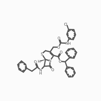 O=C(Cc1ccccc1)NC1C(=O)N2C(C(=O)OC(c3ccccc3)c3ccccc3)=C(COC(=O)Nc3cccc(Cl)c3)CS[C@@H]12